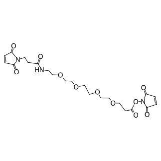 O=C(CCN1C(=O)C=CC1=O)NCCOCCOCCOCCOCCC(=O)ON1C(=O)C=CC1=O